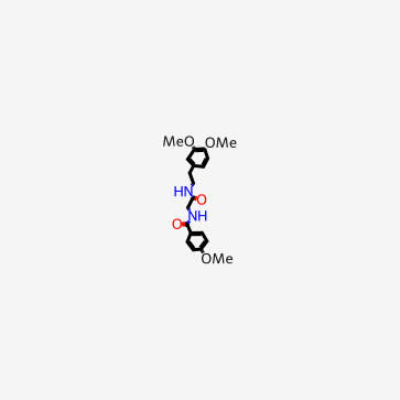 COc1ccc(C(=O)NCC(=O)NCCc2ccc(OC)c(OC)c2)cc1